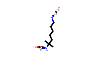 CC(C)(CCCCCN=C=O)N=C=O